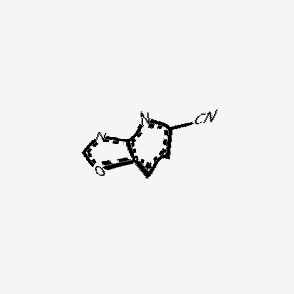 N#Cc1ccc2ocnc2n1